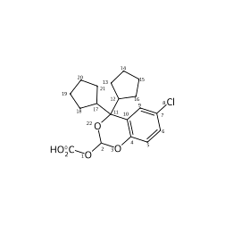 O=C(O)OC1Oc2ccc(Cl)cc2C(C2CCCC2)(C2CCCC2)O1